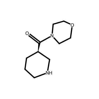 O=C([C@@H]1CCCNC1)N1CCOCC1